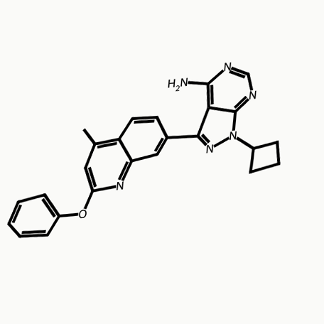 Cc1cc(Oc2ccccc2)nc2cc(-c3nn(C4CCC4)c4ncnc(N)c34)ccc12